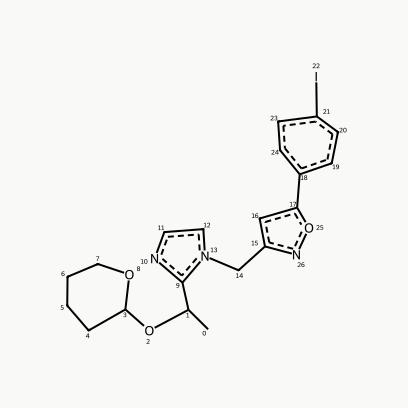 CC(OC1CCCCO1)c1nccn1Cc1cc(-c2ccc(I)cc2)on1